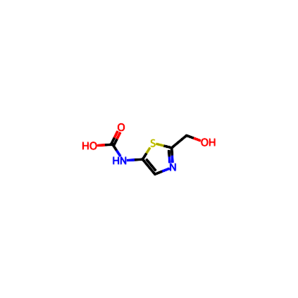 O=C(O)Nc1cnc(CO)s1